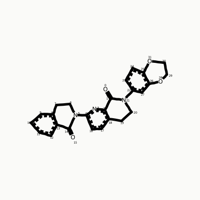 O=C1c2nc(N3CCc4ccccc4C3=O)ccc2CCN1c1ccc2c(c1)OCCO2